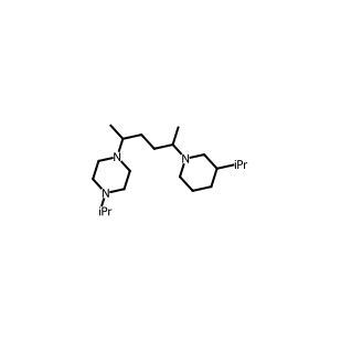 CC(C)C1CCCN(C(C)CCC(C)N2CCN(C(C)C)CC2)C1